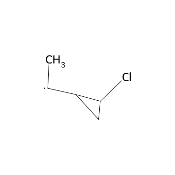 C[CH]C1CC1Cl